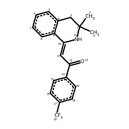 CC1(C)Cc2ccccc2C(=CC(=O)c2ccc(C(F)(F)F)cc2)N1